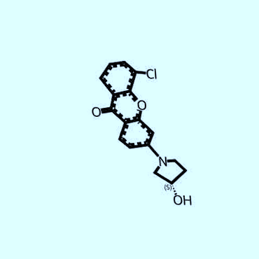 O=c1c2ccc(N3CC[C@H](O)C3)cc2oc2c(Cl)cccc12